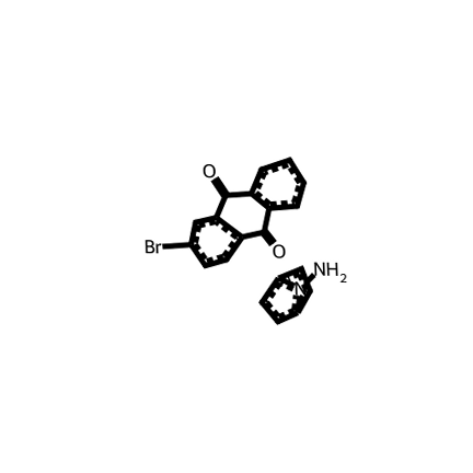 Nn1c2ccc1cc2.O=C1c2ccccc2C(=O)c2cc(Br)ccc21